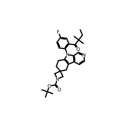 CCC(C)(C)C(=O)c1cc(F)ccc1-n1c2c(c3ccncc31)CC1(CC2)CN(C(=O)OC(C)(C)C)C1